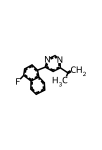 C=C(C)c1cc(-c2ccc(F)c3ccccc23)ncn1